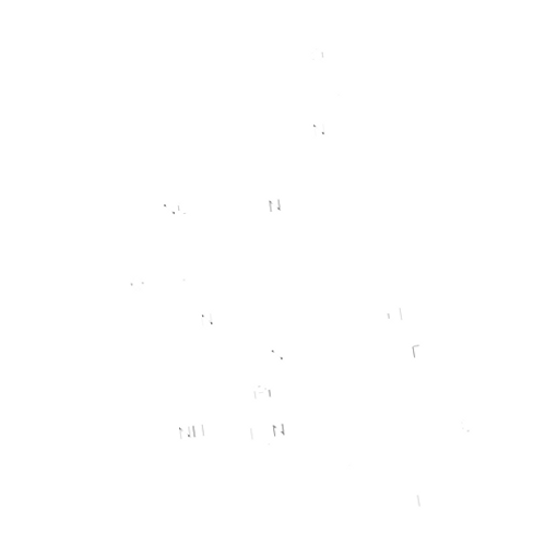 C=CC(=O)N1CCN(c2c(C#N)c(=O)n(C3=C(C)C=CNC3C(C)C)c3nc(-c4c(N)c(F)c(F)c(Cl)c4F)c(Cl)cc23)CC1